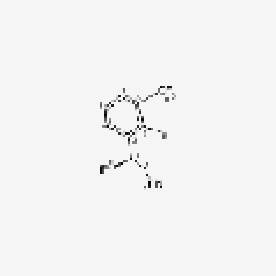 Cc1c([C@@H](CC#N)C(C)C)cccc1C(F)(F)F